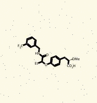 CCC(Oc1ccc(C[C@H](OC)C(=O)O)cc1)C(=O)NCc1cccc(C(F)(F)F)c1